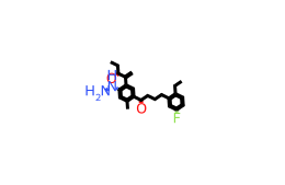 C=C(C(=O)CC)c1cc(C(=O)CCCc2cc(F)ccc2CC)c(C)cc1NN